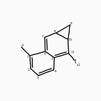 Cc1cccc2c1=CC1CC1C=2I